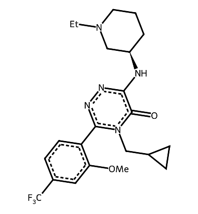 CCN1CCC[C@@H](Nc2nnc(-c3ccc(C(F)(F)F)cc3OC)n(CC3CC3)c2=O)C1